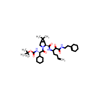 C=CCCC(NC(=O)[C@@H]1C2C(CN1C(=O)[C@@H](NC(=O)OC(C)(C)C)C1CCCCC1)C2(C)C)C(=O)C(=O)NCCC1=CCCCC1